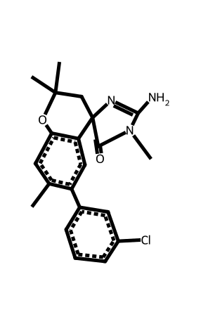 Cc1cc2c(cc1-c1cccc(Cl)c1)C1(CC(C)(C)O2)N=C(N)N(C)C1=O